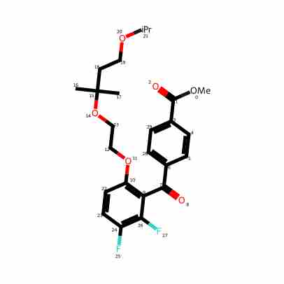 COC(=O)c1ccc(C(=O)c2c(OCCOC(C)(C)CCOC(C)C)ccc(F)c2F)cc1